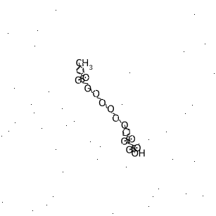 Cc1ccc(S(=O)(=O)CCOCCOCCOCCOCCOCCOc2ccc(S(=O)(=O)CCS(=O)(=O)O)cc2)cc1